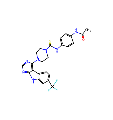 CC(=O)Nc1ccc(NC(=S)N2CCN(c3ncnc4[nH]c5cc(C(F)(F)F)ccc5c34)CC2)cc1